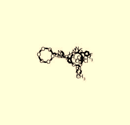 Cc1c(Cl)c2c(Cl)c(C)c1-c1c(-c3ccc(F)cc3)sc3ncnc(c13)O[C@@H](C(=O)O)c1cc(ccc1OCc1ccnc(OCC3COCCOCCOCCOCCOCCO3)n1)OC[C@@H](CN1CCN(C)CC1)O2